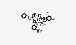 CC(C)c1cccc(C2(NCC(O)C(Cc3cc(F)cc(F)c3)NC(=O)OC(C)(C)C)CC(C(=O)OCc3ccccc3)C2)c1